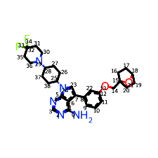 Nc1ncnc2c1c(-c1cccc(OCC34CCC(CC3)O4)c1)cn2[C@H]1CC[C@H](N2CCC(F)(F)CC2)CC1